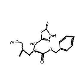 CC(CC=O)CN(Nc1n[nH]c(=S)s1)C(=O)OCc1ccccc1